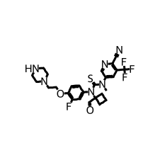 CN(C(=S)N(c1ccc(OCCN2CCNCC2)c(F)c1)C1(C=O)CCC1)c1cnc(C#N)c(C(F)(F)F)c1